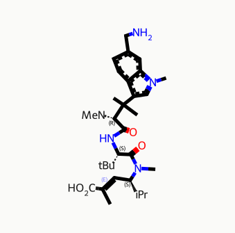 CN[C@@H](C(=O)N[C@H](C(=O)N(C)[C@H](/C=C(\C)C(=O)O)C(C)C)C(C)(C)C)C(C)(C)c1cn(C)c2cc(CN)ccc12